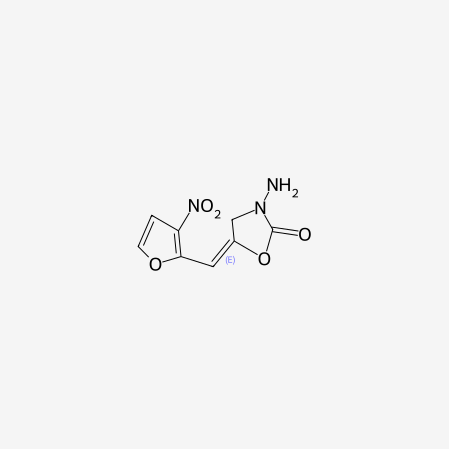 NN1C/C(=C\c2occc2[N+](=O)[O-])OC1=O